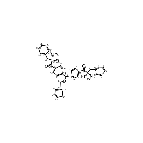 CCC(Cc1ccccc1)(C(=O)c1ccc(C(OCc2ccccc2)c2ccc(C(=O)C(CC)(Cc3ccccc3)N(C)C)cc2)cc1)N(C)C